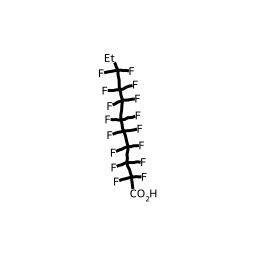 CCC(F)(F)C(F)(F)C(F)(F)C(F)(F)C(F)(F)C(F)(F)C(F)(F)C(F)(F)C(=O)O